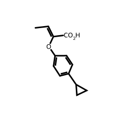 C/C=C(\Oc1ccc(C2CC2)cc1)C(=O)O